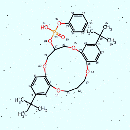 CC(C)(C)c1ccc2c(c1)OCCCOc1ccc(C(C)(C)C)cc1OCC(OP(=O)(O)Oc1ccccc1)CO2